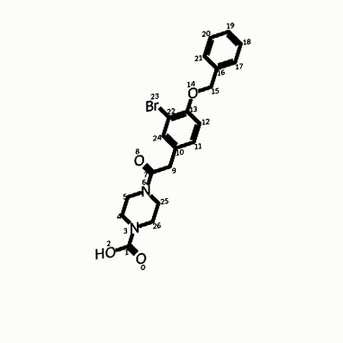 O=C(O)N1CCN(C(=O)Cc2ccc(OCc3ccccc3)c(Br)c2)CC1